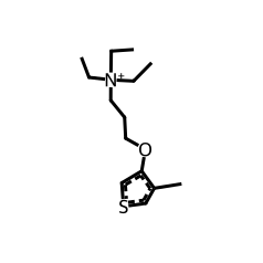 CC[N+](CC)(CC)CCCOc1cscc1C